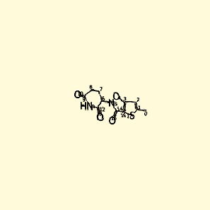 Cc1cc2on(C3CCC(=O)NC3=O)c(=O)c2s1